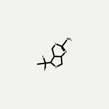 CC(F)(F)C1OCC2N=C(N)SCC21